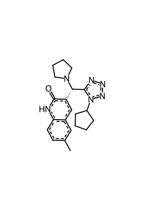 Cc1ccc2[nH]c(=O)c([C@@H](c3nnnn3C3CCCC3)N3CCCC3)cc2c1